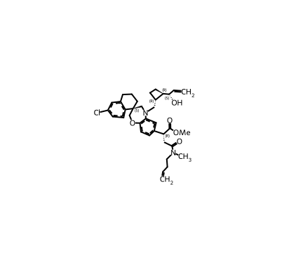 C=CCCN(C)C(=O)C[C@@H](C(=O)OC)c1ccc2c(c1)N(C[C@@H]1CC[C@H]1[C@@H](O)C=C)C[C@@]1(CCCc3cc(Cl)ccc31)CO2